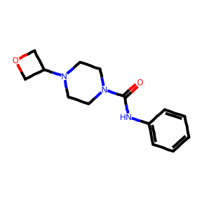 O=C(Nc1ccccc1)N1CCN(C2COC2)CC1